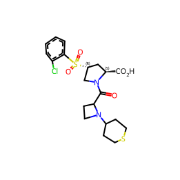 O=C(O)[C@@H]1C[C@@H](S(=O)(=O)c2ccccc2Cl)CN1C(=O)C1CCN1C1CCSCC1